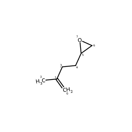 C=C(C)[CH]CC1CO1